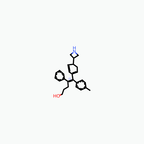 Cc1ccc(/C(C2=CCC(C3CNC3)C=C2)=C(\CCCO)c2ccccc2)cc1